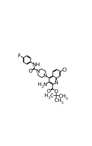 CC(C)(C)OC(=O)c1nc2cc(Cl)ccc2c(N2CCN(C(=O)Nc3ccc(F)cc3)CC2)c1N